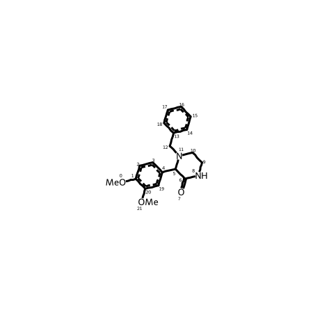 COc1ccc(C2C(=O)NCCN2Cc2ccccc2)cc1OC